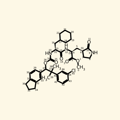 COC(=O)[C@H](C[C@@H]1CCNC1=O)NC(=O)[C@H](CC1CCCCC1)NC(=O)OC(c1ccc2c(c1)CCC2)C(C)(C)c1cccc(Cl)c1